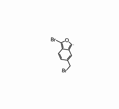 BrCc1ccc2c(Br)o[c]c2c1